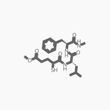 CNC(=O)[C@H](Cc1ccccc1)NC(=O)[C@H](CC(C)C)NC(=O)C(S)CCC(=O)OC